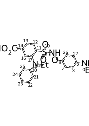 CCNc1ccc(ONS(=O)(=O)c2ccc(C(=O)O)cc2N(CC)c2ccccc2)cc1